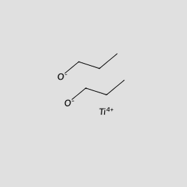 CCC[O-].CCC[O-].[Ti+4]